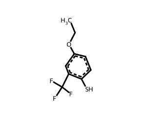 CCOc1ccc(S)c(C(F)(F)F)c1